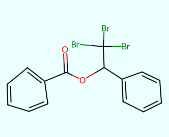 O=C(OC(c1ccccc1)C(Br)(Br)Br)c1ccccc1